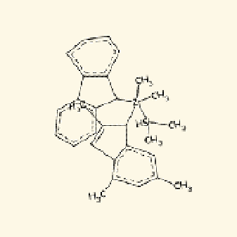 CC1=Cc2c(C)cc(C)cc2[CH]1[Zr]([CH3])([CH3])([CH]1c2ccccc2-c2ccccc21)[SiH](C)C